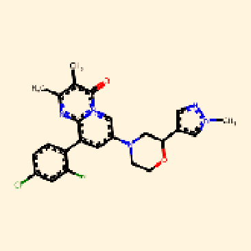 Cc1nc2c(-c3ccc(Cl)cc3F)cc(N3CCOC(c4cnn(C)c4)C3)cn2c(=O)c1C